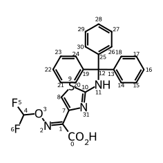 O=C(O)/C(=N/OC(F)F)c1csc(NC(c2ccccc2)(c2ccccc2)c2ccccc2)n1